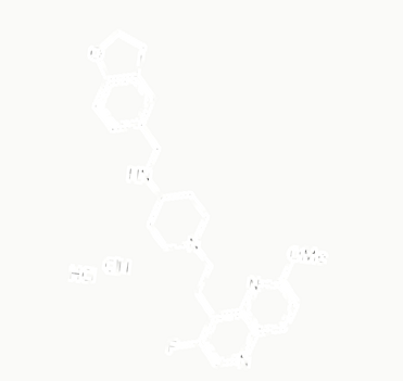 COc1ccc2ncc(F)c(CCN3CCC(NCc4ccc5c(c4)CCO5)CC3)c2n1.Cl.Cl